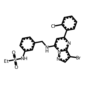 CCS(=O)(=O)Nc1cccc(CNc2cc(-c3ccccc3Cl)nc3c(Br)cnn23)c1